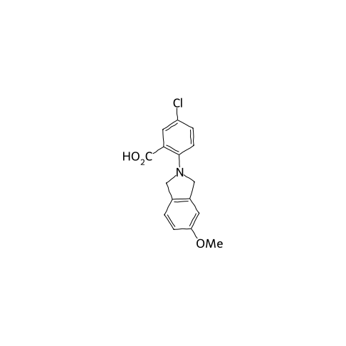 COc1ccc2c(c1)CN(c1ccc(Cl)cc1C(=O)O)C2